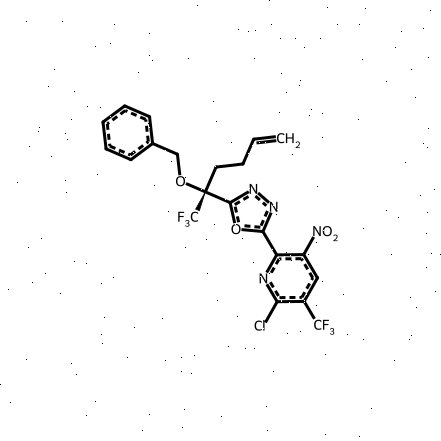 C=CCC[C@@](OCc1ccccc1)(c1nnc(-c2nc(Cl)c(C(F)(F)F)cc2[N+](=O)[O-])o1)C(F)(F)F